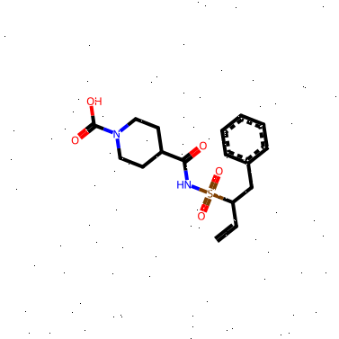 C=CC(Cc1ccccc1)S(=O)(=O)NC(=O)C1CCN(C(=O)O)CC1